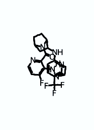 O=C(c1nccc(F)c1-n1nccn1)N1C2CCC1C(Nc1ccc(C(F)(F)F)cn1)C2